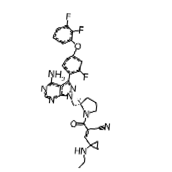 CCNC1(C=C(C#N)C(=O)N2CCC[C@H]2Cn2nc(-c3ccc(Oc4cccc(F)c4F)cc3F)c3c(N)ncnc32)CC1